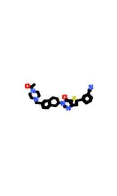 CC(=O)N1CCN(Cc2ccc3c(c2)CCC(n2cnc4cc(-c5cccc(C#N)c5)sc4c2=O)C3)CC1